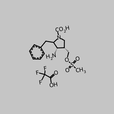 CS(=O)(=O)OC[C@H]1CN(C(=O)O)C(Cc2ccccc2)[C@H]1N.O=C(O)C(F)(F)F